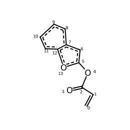 C=CC(=O)Oc1cc2ccccc2o1